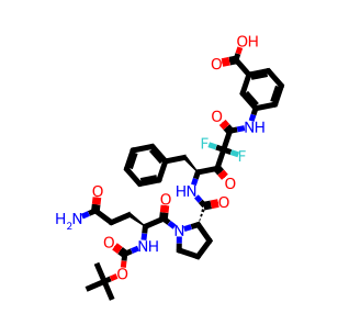 CC(C)(C)OC(=O)N[C@@H](CCC(N)=O)C(=O)N1CCC[C@H]1C(=O)N[C@@H](Cc1ccccc1)C(=O)C(F)(F)C(=O)Nc1cccc(C(=O)O)c1